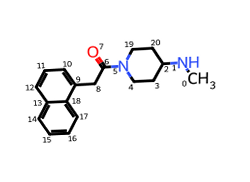 CNC1CCN(C(=O)Cc2cccc3ccccc23)CC1